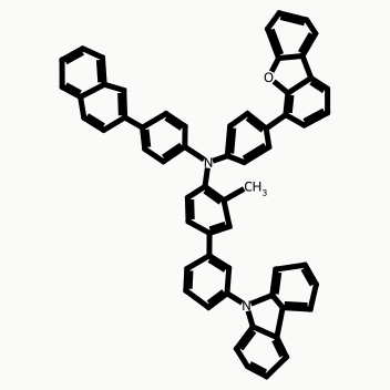 Cc1cc(-c2cccc(-n3c4ccccc4c4ccccc43)c2)ccc1N(c1ccc(-c2ccc3ccccc3c2)cc1)c1ccc(-c2cccc3c2oc2ccccc23)cc1